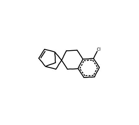 Clc1cccc2c1CCC1(C2)CC2C=CC1C2